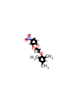 Cc1cc(C)c(OCCC2(C)Oc3ccc([N+](=O)[O-])cc3O2)c(C)c1